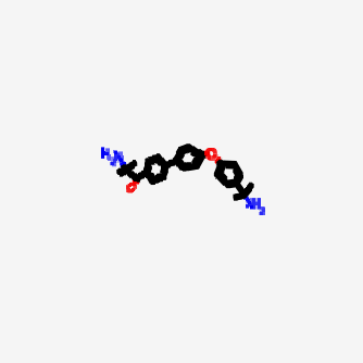 CC(C)(N)C(=O)c1ccc(-c2ccc(Oc3ccc(C(C)(C)N)cc3)cc2)cc1